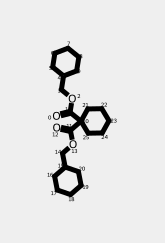 O=C(OCC1CCCCC1)C1(C(=O)OCC2CCCCC2)CCCCC1